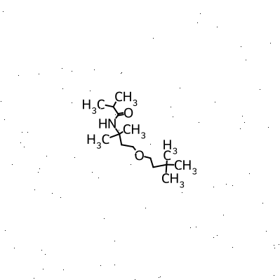 CC(C)C(=O)NC(C)(C)CCOCCC(C)(C)C